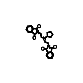 O=C1c2ccccc2C(=O)N1CCN(CCN1C(=O)c2ccccc2C1=O)C1CCCC1